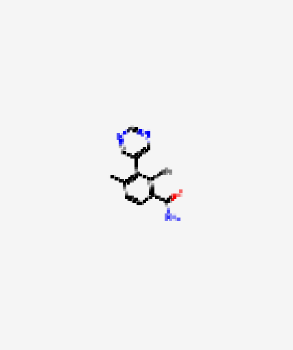 CCCc1c(C(N)=O)ccc(C)c1-c1cncnc1